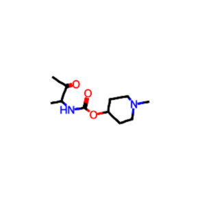 CC(=O)C(C)NC(=O)OC1CCN(C)CC1